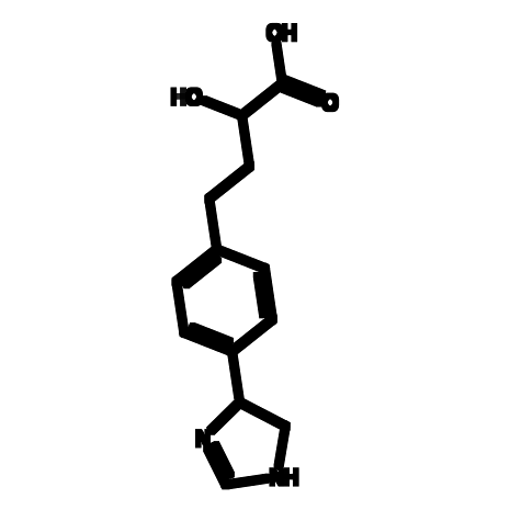 O=C(O)C(O)CCc1ccc(C2CNC=N2)cc1